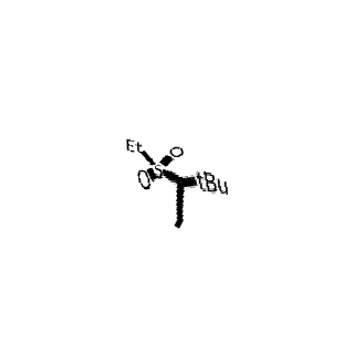 CCS(=O)(=O)C(C)C(C)(C)C